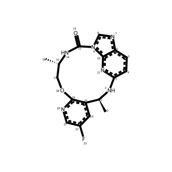 C[C@@H]1Nc2ccc3ncn(c3n2)C(=O)N[C@@H](C)COc2ncc(F)cc21